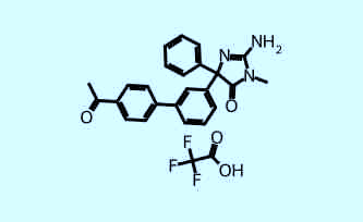 CC(=O)c1ccc(-c2cccc(C3(c4ccccc4)N=C(N)N(C)C3=O)c2)cc1.O=C(O)C(F)(F)F